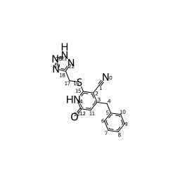 N#Cc1c(Cc2ccccc2)cc(=O)[nH]c1SCc1nn[nH]n1